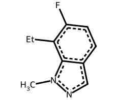 CCc1c(F)ccc2cnn(C)c12